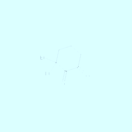 CCC1(CC)CCCC(=O)C1=O